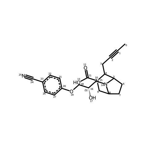 CC#CCC1C2CCC(CN1C(=O)O)N2C[C@H](O)COc1ccc(C#N)cc1